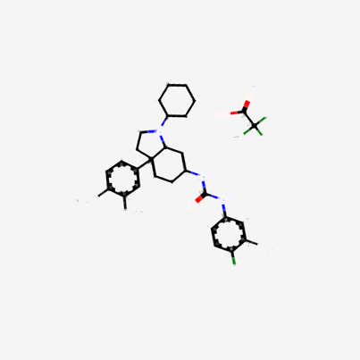 COc1ccc(C23CCC(NC(=O)Nc4ccc(F)c(C(F)(F)F)c4)CC2N(C2CCCCC2)CC3)cc1OC.O=C(O)C(F)(F)F